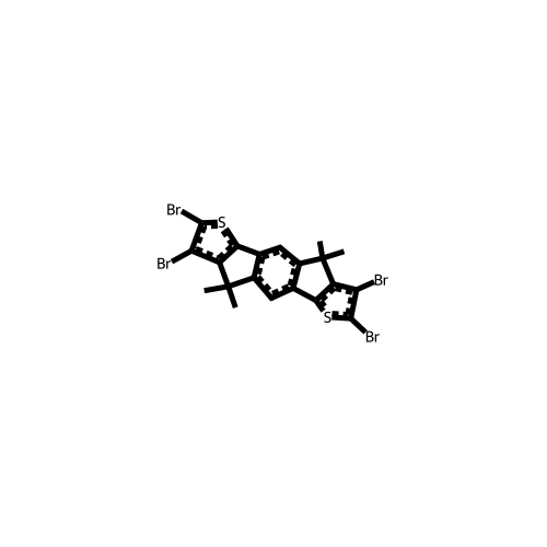 CC1(C)c2cc3c(cc2-c2sc(Br)c(Br)c21)C(C)(C)c1c-3sc(Br)c1Br